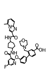 Cc1cccc2nc(C(=O)NC3CCC(NC(=O)c4cc(F)cnc4Oc4cccc(-c5ccc(C(=O)O)cc5CN5CCOCC5)c4)CC3)cn12